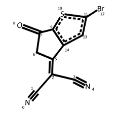 N#CC(C#N)=C1CC(=O)c2sc(Br)cc21